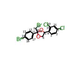 Clc1ccc(C2COC(CBr)(c3ccc(Br)cc3)O2)c(Cl)c1